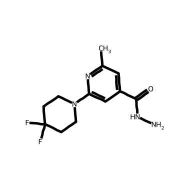 Cc1cc(C(=O)NN)cc(N2CCC(F)(F)CC2)n1